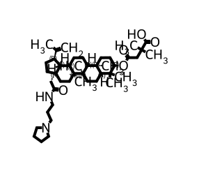 C=C(C)[C@@H]1CC[C@]2(CC(=O)NCCCN3CCCC3)CC[C@]3(C)[C@H](CC[C@@H]4[C@@]5(C)CC[C@H](OC(=O)CC(C)(C)C(=O)O)C(C)(C)[C@@H]5CC[C@]43C)[C@@H]12